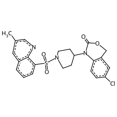 Cc1cnc2c(S(=O)(=O)N3CCC(N4C(=O)OCc5cc(Cl)ccc54)CC3)cccc2c1